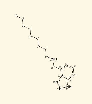 CCCCCCCCCNCc1cccc2[nH]nnc12